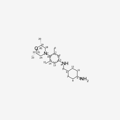 Cc1cc(NCC2CCC(N)CC2)cc(C)c1N1C[C@@H](C)O[C@@H](C)C1